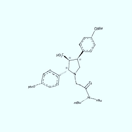 CCCCN(CCCC)C(=O)CN1C[C@H](c2ccc(OC)cc2)[C@H](C(=O)O)[C@H]1c1ccc(OC)cc1